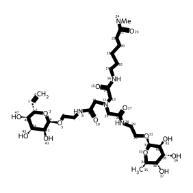 C=C[C@@H]1O[C@@H](OCCNC(=O)CN(CC(=O)NCCCCCC(=O)NC)CC(=O)NCCO[C@@H]2O[C@@H](C)[C@@H](O)[C@@H](O)[C@@H]2O)[C@@H](O)[C@H](O)[C@@H]1O